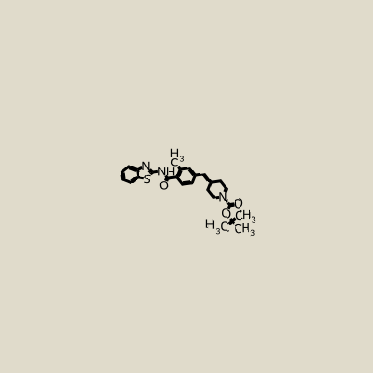 Cc1cc(C=C2CCN(C(=O)OC(C)(C)C)CC2)ccc1C(=O)Nc1nc2ccccc2s1